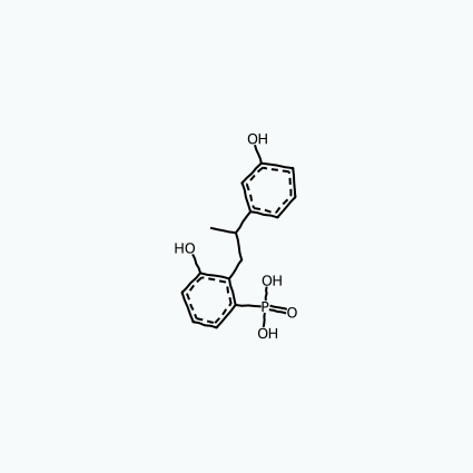 CC(Cc1c(O)cccc1P(=O)(O)O)c1cccc(O)c1